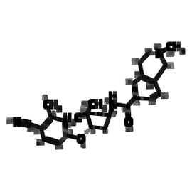 Cc1cc(O[C@H]2C[C@H](NC(=O)c3ccc4c(c3)CCN(C)C4)C2(C)C)ccc1C#N